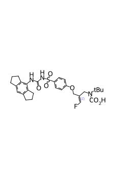 CC(C)(C)N(C/C(=C/F)COc1ccc(S(=O)(=O)NC(=O)Nc2c3c(cc4c2CCC4)CCC3)cc1)C(=O)O